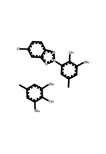 Cc1cc(-n2nc3ccc(Cl)cc3n2)c(O)c(C(C)(C)C)c1.Cc1cc(C(C)(C)C)c(O)c(C(C)(C)C)c1